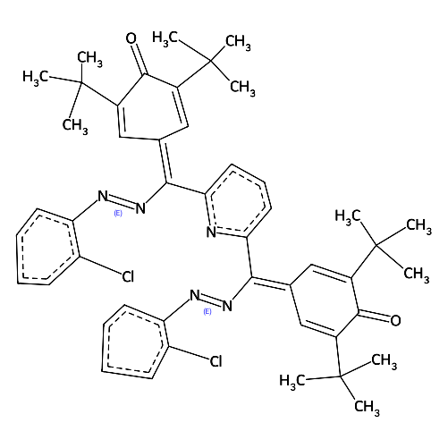 CC(C)(C)C1=CC(=C(/N=N/c2ccccc2Cl)c2cccc(C(/N=N/c3ccccc3Cl)=C3C=C(C(C)(C)C)C(=O)C(C(C)(C)C)=C3)n2)C=C(C(C)(C)C)C1=O